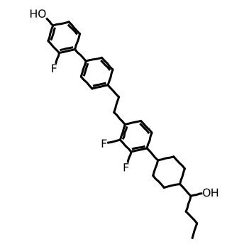 CCCC(O)C1CCC(c2ccc(CCc3ccc(-c4ccc(O)cc4F)cc3)c(F)c2F)CC1